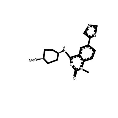 CO[C@H]1CC[C@@H](Nc2nc(=O)n(C)c3ccc(-c4cncs4)cc23)CC1